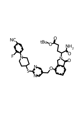 CC(C)(C)OC(=O)CCC(C(N)=O)N1Cc2c(OCc3cnc(SC4CCN(c5ccc(C#N)cc5F)CC4)nc3)cccc2C1=O